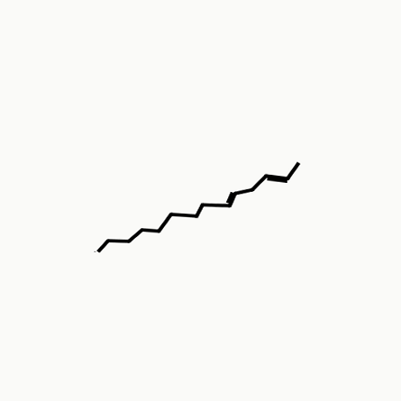 [CH2]CCCCCCCC=CCC=CC